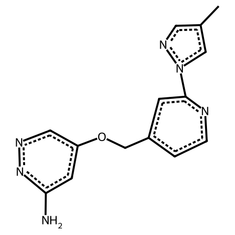 Cc1cnn(-c2cc(COc3cnnc(N)c3)ccn2)c1